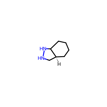 C1CC[C@H]2CNNC2C1